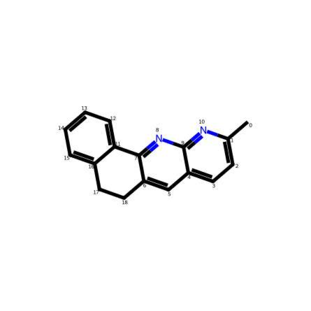 Cc1ccc2cc3c(nc2n1)-c1ccccc1CC3